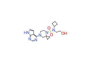 O=S(=O)(N(CCO)C1CCC1)N1CCN(c2ncnc3[nH]ccc23)CC12CC2